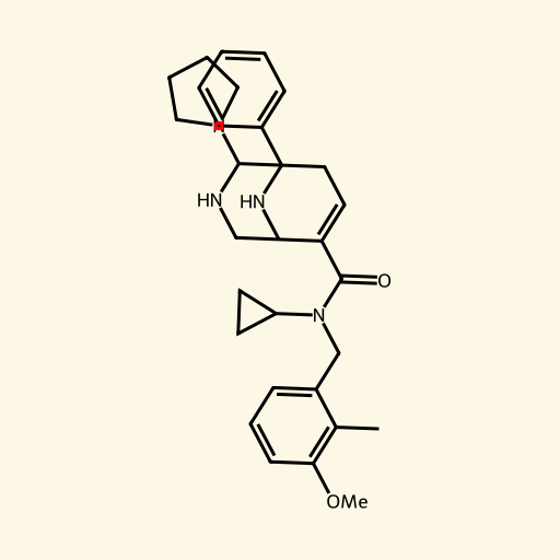 COc1cccc(CN(C(=O)C2=CCC3(c4ccccc4)NC2CNC3N2CCCC2)C2CC2)c1C